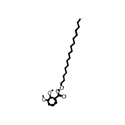 [CH2]CCCCCCCCCCCCCCCCCOOC(=O)c1cccc(OC)c1OC